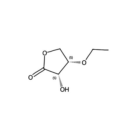 CCO[C@H]1COC(=O)[C@H]1O